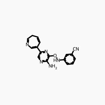 N#Cc1cccc(NOc2nc(C3=CN=CCC=C3)cnc2N)c1